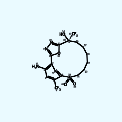 Nc1cc(C(F)(F)F)c2nc1-c1nnc(o1)[C@](O)(C(F)(F)F)CCCCCCS2(=O)=O